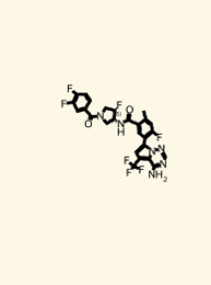 Cc1cc(F)c(-c2cc(C(F)(F)F)c3c(N)ncnn23)cc1C(=O)N[C@@H]1CN(C(=O)c2ccc(F)c(F)c2)C[C@@H]1F